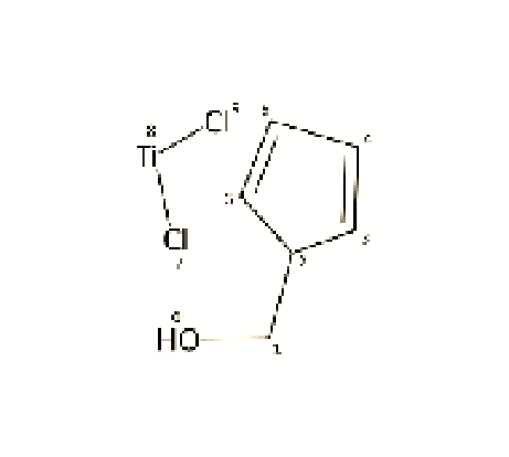 OCC1C=CC=C1.[Cl][Ti][Cl]